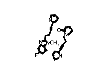 Cn1c(CCC#Cc2ccccn2)nc2cc(F)ccc21.O=c1ccccn1CCC#Cc1ccccn1